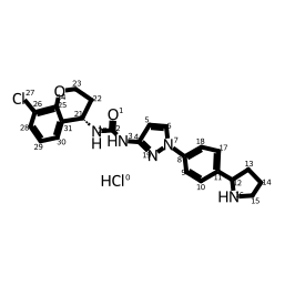 Cl.O=C(Nc1ccn(-c2ccc(C3CCCN3)cc2)n1)N[C@H]1CCOc2c(Cl)cccc21